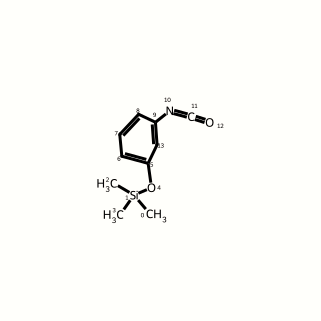 C[Si](C)(C)Oc1cccc(N=C=O)c1